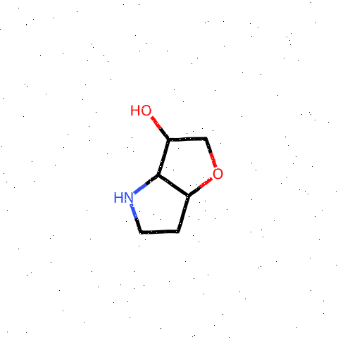 OC1COC2CCNC12